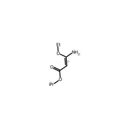 CCO/C(N)=C\C(=O)OC(C)C